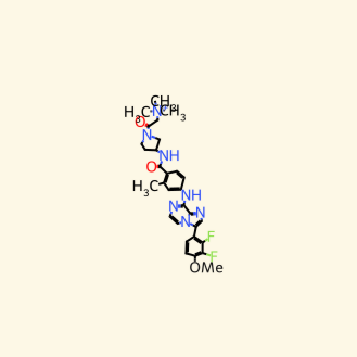 COc1ccc(-c2cnc3c(Nc4ccc(C(=O)NC5CCN(C(=O)C[N+](C)(C)C)C5)c(C)c4)nccn23)c(F)c1F